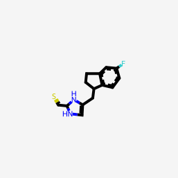 Fc1ccc2c(c1)CCC2CC1=CNC(C=S)N1